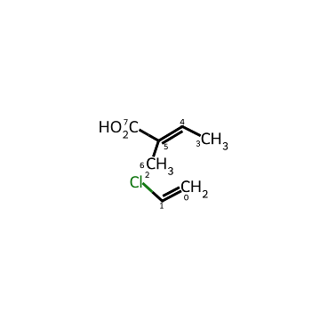 C=CCl.CC=C(C)C(=O)O